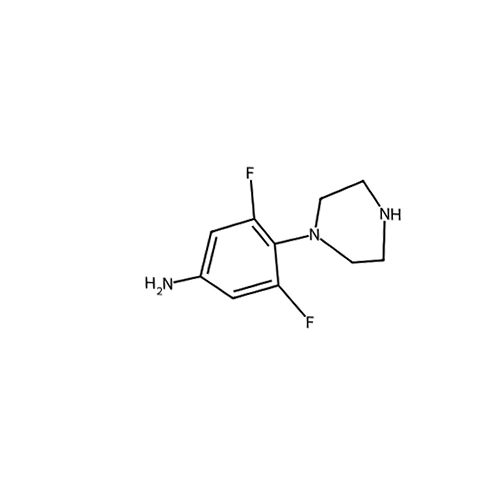 Nc1cc(F)c(N2CCNCC2)c(F)c1